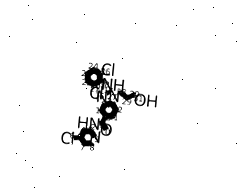 O=C(Nc1cc(Cl)ccn1)c1ccc2c(c1)nc(Nc1c(Cl)cccc1Cl)n2CCCO